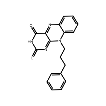 O=c1nc2n(CCCc3ccccc3)c3ccccc3nc-2c(=O)[nH]1